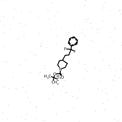 CC(C)(C)OC(=O)N1CCC(CCC(F)(F)c2ccccc2)CC1